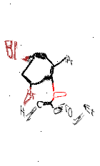 C=C(Oc1c(Br)cc(Br)cc1C(C)C)C(=O)OCC